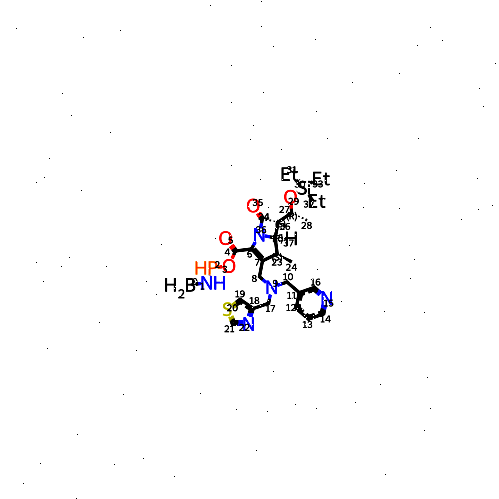 BNPOC(=O)C1=C(CN(Cc2cccnc2)Cc2cscn2)[C@H](C)[C@@H]2[C@@H]([C@@H](C)O[Si](CC)(CC)CC)C(=O)N12